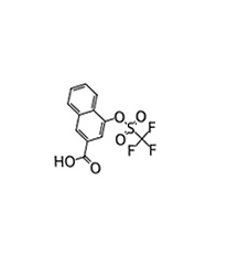 O=C(O)c1cc(OS(=O)(=O)C(F)(F)F)c2ccccc2c1